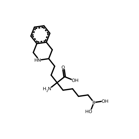 NC(CCCCB(O)O)(CCC1Cc2ccccc2CN1)C(=O)O